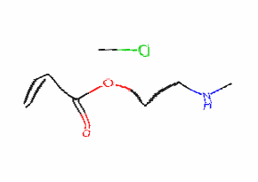 C=CC(=O)OCCNC.CCl